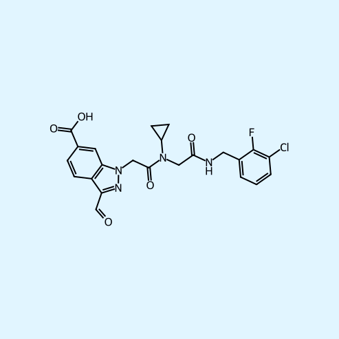 O=Cc1nn(CC(=O)N(CC(=O)NCc2cccc(Cl)c2F)C2CC2)c2cc(C(=O)O)ccc12